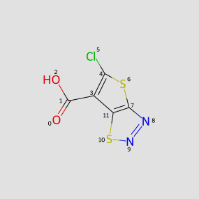 O=C(O)c1c(Cl)sc2nnsc12